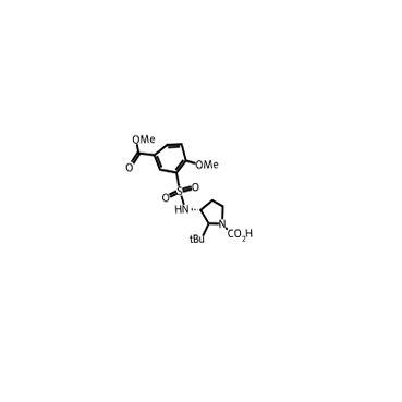 COC(=O)c1ccc(OC)c(S(=O)(=O)N[C@@H]2CCN(C(=O)O)C2C(C)(C)C)c1